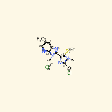 CCSc1c(-c2nc3cc(C(F)(F)F)cnc3n2C)n[c]([Zn][Cl])n1C.[Cl-].[Li+]